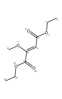 CCOC(=O)/C=C(\OC)C(=O)OCC